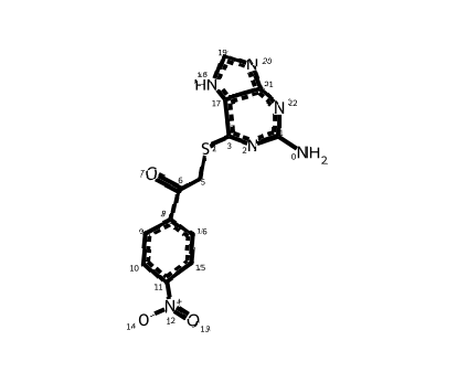 Nc1nc(SCC(=O)c2ccc([N+](=O)[O-])cc2)c2[nH]cnc2n1